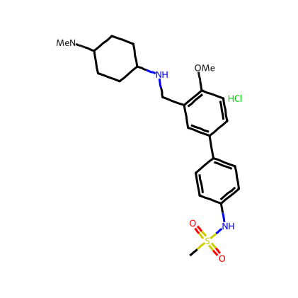 CNC1CCC(NCc2cc(-c3ccc(NS(C)(=O)=O)cc3)ccc2OC)CC1.Cl